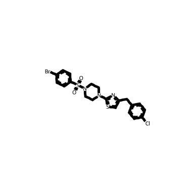 O=S(=O)(c1ccc(Br)cc1)N1CCN(c2nc(Cc3ccc(Cl)cc3)cs2)CC1